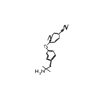 CC(C)(N)Cc1ccc(Oc2ccc(C#N)cn2)cc1